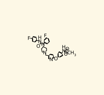 CS(=O)(=O)Nc1ccc(Oc2ccc(CN3CCC(N(C(=O)Nc4ccc(F)cc4)c4cccc(F)c4)CC3)cn2)cc1